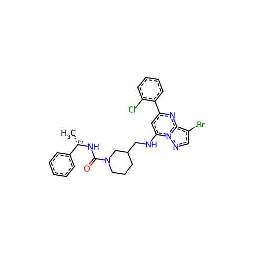 C[C@H](NC(=O)N1CCCC(CNc2cc(-c3ccccc3Cl)nc3c(Br)cnn23)C1)c1ccccc1